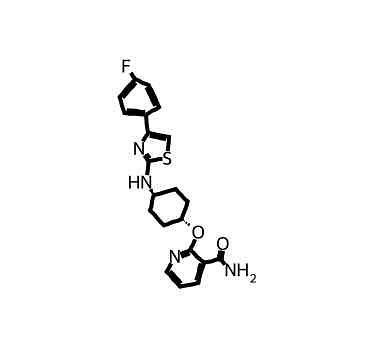 NC(=O)c1cccnc1O[C@H]1CC[C@H](Nc2nc(-c3ccc(F)cc3)cs2)CC1